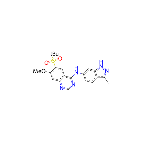 COc1cc2ncnc(Nc3ccc4c(C)n[nH]c4c3)c2cc1S(=O)(=O)C(C)(C)C